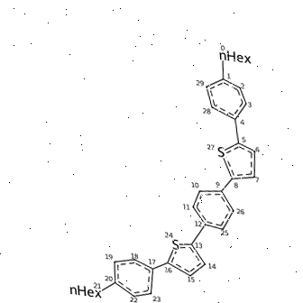 CCCCCCc1ccc(-c2ccc(-c3ccc(-c4ccc(-c5ccc(CCCCCC)cc5)s4)cc3)s2)cc1